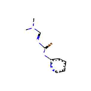 CN(C)/C=N/C(=S)Nc1ccccn1